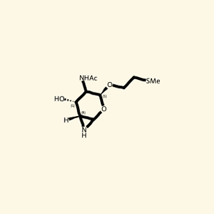 CSCCO[C@H]1OC2N[C@@H]2[C@H](O)C1NC(C)=O